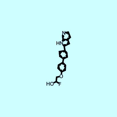 OC(F)COc1ccc(-c2ccc(-c3cc4ccncc4[nH]3)cc2)cc1